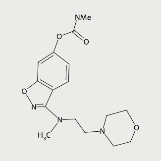 CNC(=O)Oc1ccc2c(N(C)CCN3CCOCC3)noc2c1